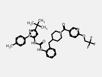 Cc1ccc(-n2nc(C(C)(C)C)cc2NC(=O)Nc2ccccc2CC2CCN(C(=O)c3ccc(OCC(F)(F)F)nc3)CC2)cc1